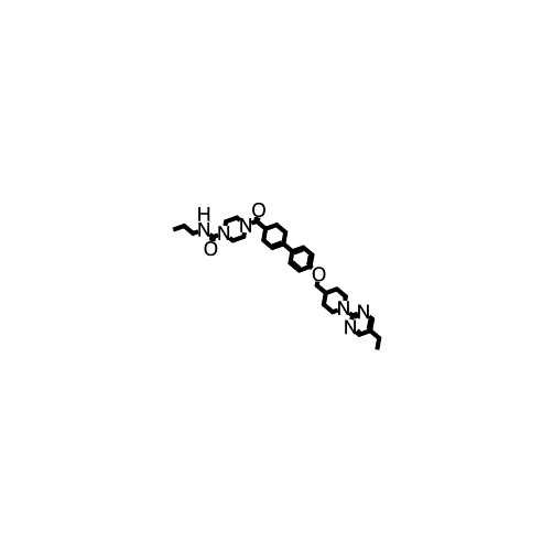 CCCNC(=O)N1CCN(C(=O)C2CC=C(c3ccc(OCC4CCN(c5ncc(CC)cn5)CC4)cc3)CC2)CC1